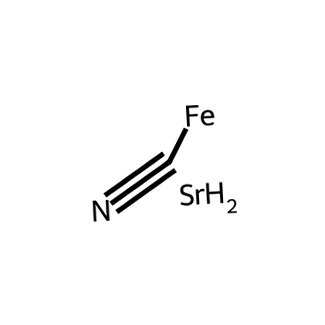 N#[C][Fe].[SrH2]